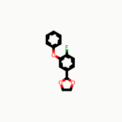 Fc1ccc(C2OCCO2)cc1Oc1ccccc1